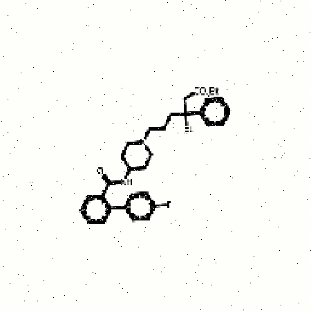 CCOC(=O)CC(CC)(CCCN1CCC(NC(=O)c2ccccc2-c2ccc(F)cc2)CC1)c1ccccc1